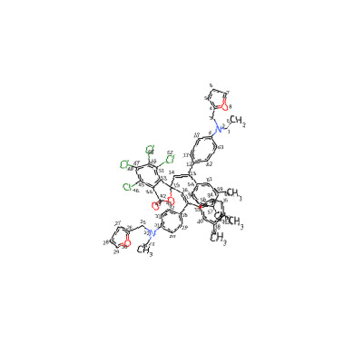 CCN(Cc1ccco1)c1ccc(C(=CC2(C=C(c3ccc(N(CC)Cc4ccco4)cc3)c3ccc(C)c(C)c3)OC(=O)c3c(Cl)c(Cl)c(Cl)c(Cl)c32)c2ccc(C)c(C)c2)cc1